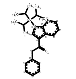 CC(C)[Si](C(C)C)(C(C)C)n1cc(C(=O)Cc2ccccc2)c2cccnc21